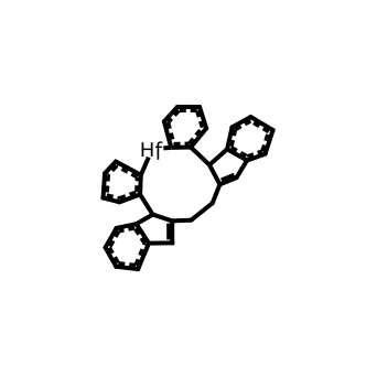 C1=C2CCC3=Cc4ccccc4C3c3cccc[c]3[Hf][c]3ccccc3C2c2ccccc21